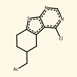 CC(=O)CC1CCc2sc3ncnc(Cl)c3c2C1